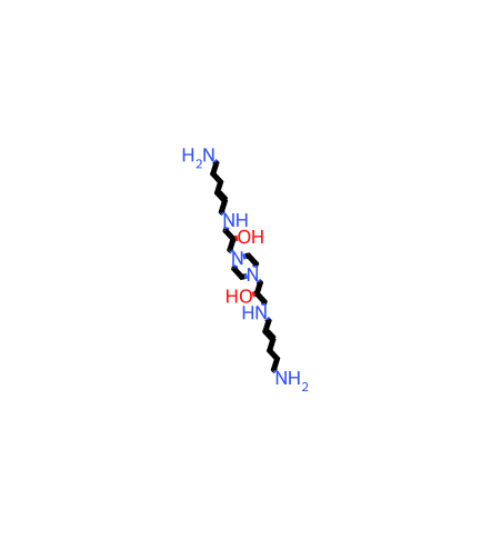 NCCCC=CCNCC(O)CN1CCN(CC(O)CNCC=CCCCN)CC1